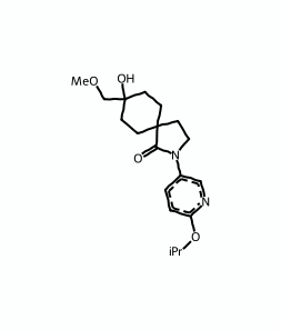 COCC1(O)CCC2(CCN(c3ccc(OC(C)C)nc3)C2=O)CC1